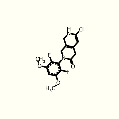 COc1cc(OC)c(F)c(N2CC3=C(C=C(Cl)NC3)CC2=O)c1F